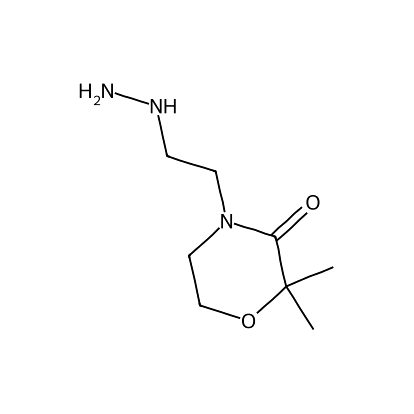 CC1(C)OCCN(CCNN)C1=O